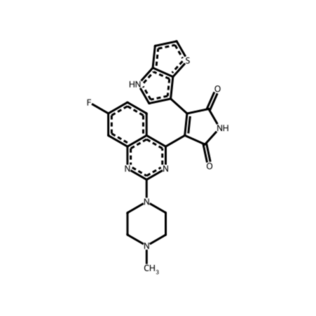 CN1CCN(c2nc(C3=C(c4c[nH]c5ccsc45)C(=O)NC3=O)c3ccc(F)cc3n2)CC1